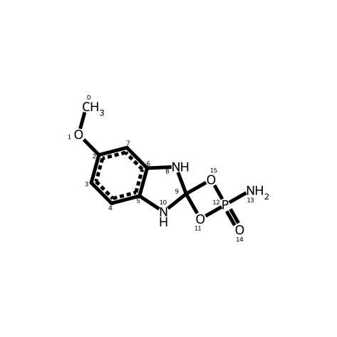 COc1ccc2c(c1)NC1(N2)OP(N)(=O)O1